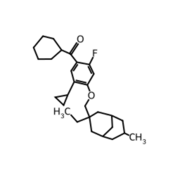 CCC1(COc2cc(F)c(C(=O)C3CCCCC3)cc2C2CC2)CC2CC(C)CC(C2)C1